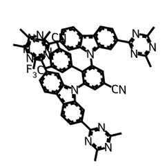 Cc1nc(C)nc(-c2ccc3c4ccc(-c5nc(C)nc(C)n5)cc4n(-c4cc(C#N)cc(-n5c6cc(-c7nc(C)nc(C)n7)ccc6c6ccc(-c7nc(C)nc(C)n7)cc65)c4-c4cc(C#N)cc(C(F)(F)F)c4)c3c2)n1